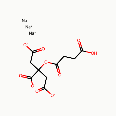 O=C([O-])CC(CC(=O)[O-])(OC(=O)CCC(=O)O)C(=O)[O-].[Na+].[Na+].[Na+]